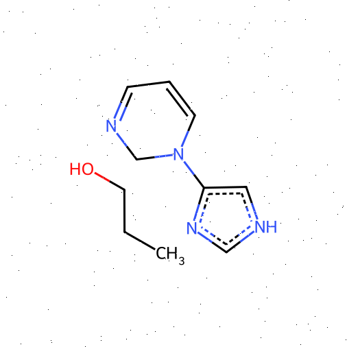 C1=CN(c2c[nH]cn2)CN=C1.CCCO